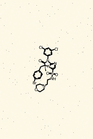 C[C@@]1(Cc2ccc(Br)cc2)C(=O)N(c2cc(Cl)cc(Cl)c2)c2ncc(S(=O)(=O)NCCN3CCOCC3)n21